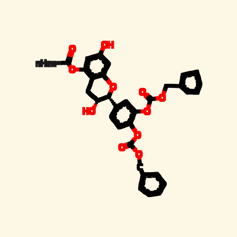 CCCCCCC(=O)Oc1cc(O)cc2c1C[C@@H](O)[C@@H](c1ccc(OC(=O)OCc3ccccc3)c(OC(=O)OCc3ccccc3)c1)O2